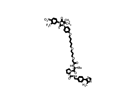 Cc1ncsc1-c1ccc(CNC(=O)[C@@H]2CCCN2C(=O)[C@@H](NC(=O)COCCCOCCCCCOc2ccc(N3C(=S)N(c4ccc([N+](=O)[O-])c(C(F)(F)F)c4)C(=O)C3(C)C)cc2)C(C)(C)C)cc1